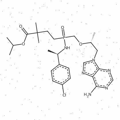 CC(C)OC(=O)C(C)(C)CCP(=O)(CO[C@H](C)Cn1cnc2c(N)ncnc21)N[C@H](C)c1ccc(Cl)cc1